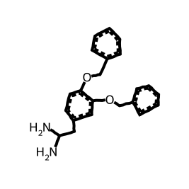 NC(N)Cc1ccc(OCc2ccccc2)c(OCc2ccccc2)c1